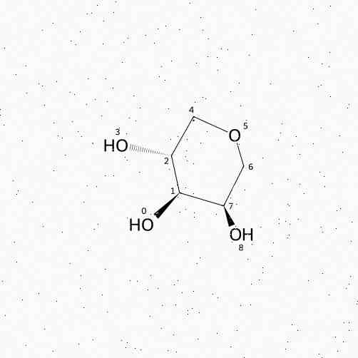 O[C@H]1[C@H](O)[CH]OC[C@H]1O